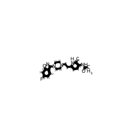 CC(=O)Nc1ccc(CCN2CCN(c3noc4cc(F)ccc34)CC2)nc1C